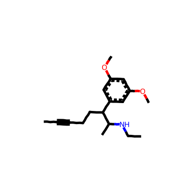 CC#CCCC(c1cc(OC)cc(OC)c1)C(C)NCC